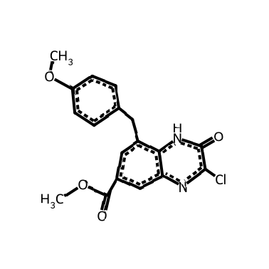 COC(=O)c1cc(Cc2ccc(OC)cc2)c2[nH]c(=O)c(Cl)nc2c1